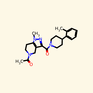 CC(=O)N1CCc2c(c(C(=O)N3CCC(c4ccccc4C)CC3)nn2C)C1